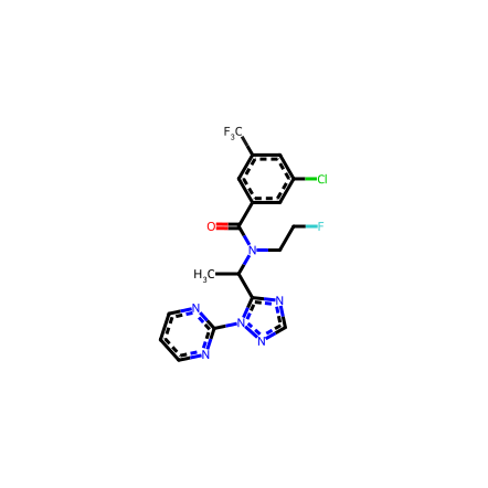 CC(c1ncnn1-c1ncccn1)N(CCF)C(=O)c1cc(Cl)cc(C(F)(F)F)c1